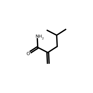 C=C(CC(C)C)C(N)=O